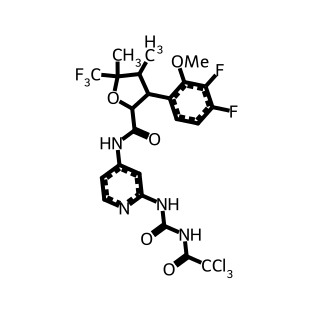 COc1c(C2C(C(=O)Nc3ccnc(NC(=O)NC(=O)C(Cl)(Cl)Cl)c3)OC(C)(C(F)(F)F)C2C)ccc(F)c1F